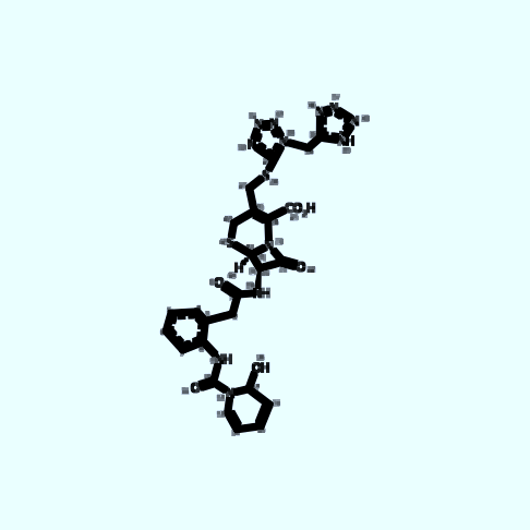 O=C(Cc1ccccc1NC(=O)N1C=CC=CC1O)N[C@@H]1C(=O)N2C(C(=O)O)=C(CSc3nnnn3Cc3nnn[nH]3)CS[C@H]12